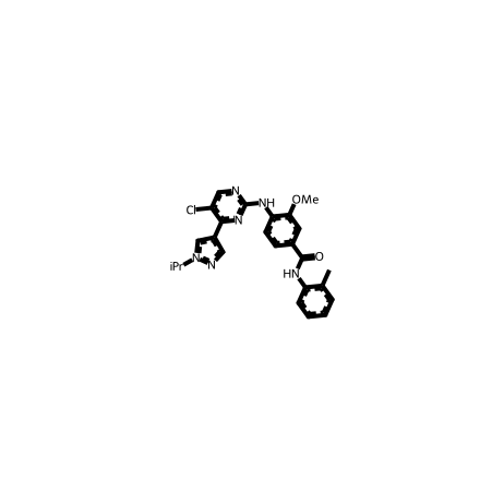 COc1cc(C(=O)Nc2ccccc2C)ccc1Nc1ncc(Cl)c(-c2cnn(C(C)C)c2)n1